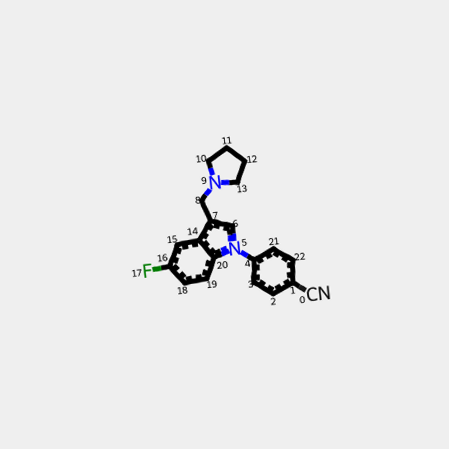 N#Cc1ccc(-n2cc(CN3CCCC3)c3cc(F)ccc32)cc1